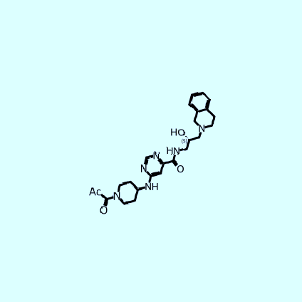 CC(=O)C(=O)N1CCC(Nc2cc(C(=O)NC[C@H](O)CN3CCc4ccccc4C3)ncn2)CC1